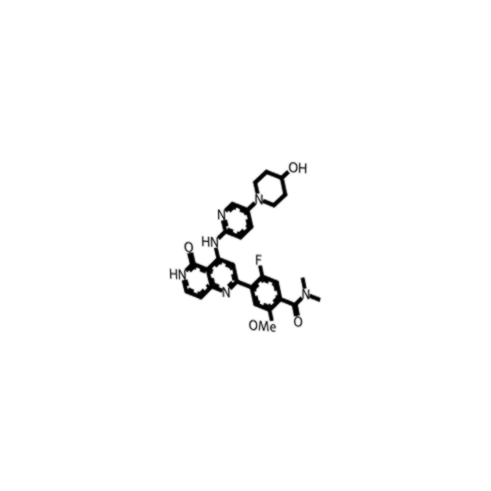 COc1cc(-c2cc(Nc3ccc(N4CCC(O)CC4)cn3)c3c(=O)[nH]ccc3n2)c(F)cc1C(=O)N(C)C